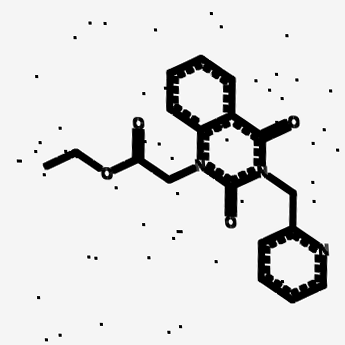 CCOC(=O)Cn1c(=O)n(Cc2ccccn2)c(=O)c2ccccc21